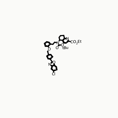 CCOC(=O)c1ccc2c(n1)CCCC2N(CCc1ccccc1OCc1ccc(-c2nc3cc(Cl)ccc3o2)cc1)C(=O)OC(C)(C)C